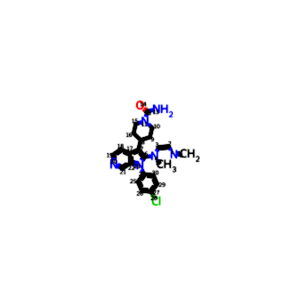 C=N/C=C\N(C)c1c(C2CCN(C(N)=O)CC2)c2ccncc2n1-c1ccc(Cl)cc1